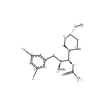 CCO[C@@H]1CN[C@@H]([C@@H](OC(=O)C(F)(F)F)[C@H](Cc2cc(F)cc(F)c2)NC(C)=O)CO1